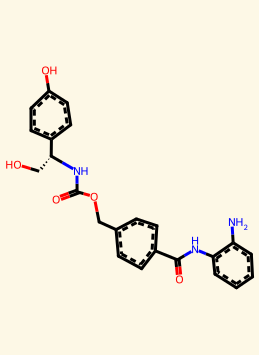 Nc1ccccc1NC(=O)c1ccc(COC(=O)N[C@H](CO)c2ccc(O)cc2)cc1